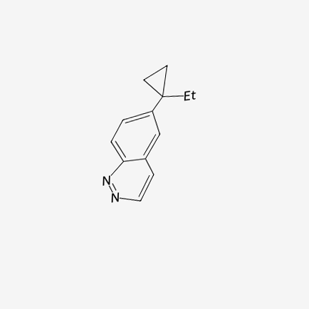 CCC1(c2ccc3nnccc3c2)CC1